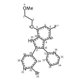 COCCOc1cc(F)nc2c(-c3ccccn3)c(-c3ccnc(Br)c3)[nH]c12